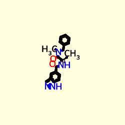 CC[C@@H](NC(=O)c1ccc2[nH]ncc2c1)C(=O)N(C)Cc1ccccc1